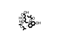 CC(=O)OCC(C)C.CCC(C)C(=O)O[C@H]1C[C@H](O)C=C2C=C[C@H](C)[C@H](CCC(O)CC(O)CC(=O)O)[C@H]21